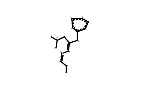 CC/C=N\C=C(\Cc1ccccc1)CC(C)C